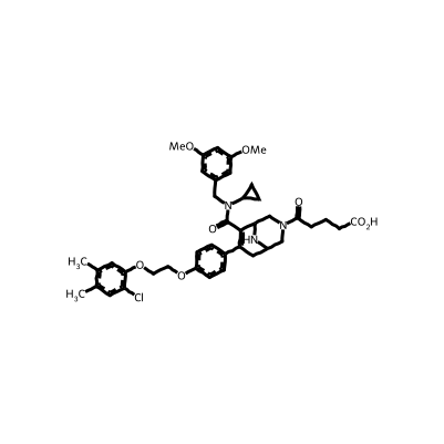 COc1cc(CN(C(=O)C2=C(c3ccc(OCCOc4cc(C)c(C)cc4Cl)cc3)CC3CN(C(=O)CCCC(=O)O)CC2N3)C2CC2)cc(OC)c1